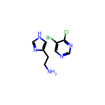 Clc1ncncc1Br.NCCc1c[nH]cn1